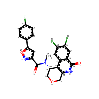 CN(C(=O)c1cc(-c2ccc(F)cc2)on1)[C@H]1COCc2[nH]c(=O)c3cc(F)c(F)cc3c21